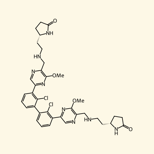 COc1nc(-c2cccc(-c3cccc(-c4cnc(CNCC[C@@H]5CCC(=O)N5)c(OC)n4)c3Cl)c2Cl)cnc1CNCC[C@@H]1CCC(=O)N1